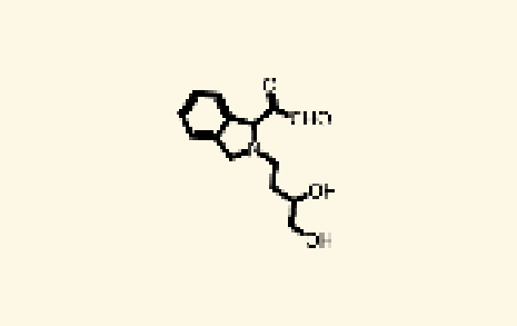 O=CC(=O)C1c2ccccc2CN1CCC(O)CO